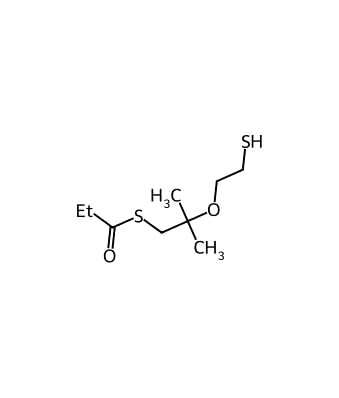 CCC(=O)SCC(C)(C)OCCS